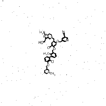 Cc1c(COc2cc(OCc3cncc(C#N)c3)c(CN3CCC4C(C3)C(CO)=NN4C)cc2Cl)cccc1-c1cccc(OCC2CCCN(C)C2)c1Cl